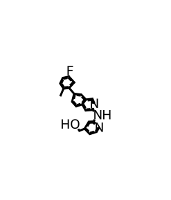 Cc1ccc(F)cc1-c1ccc2cc(Nc3cc(CO)ccn3)ncc2c1